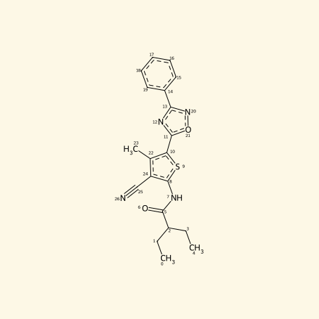 CCC(CC)C(=O)Nc1sc(-c2nc(-c3ccccc3)no2)c(C)c1C#N